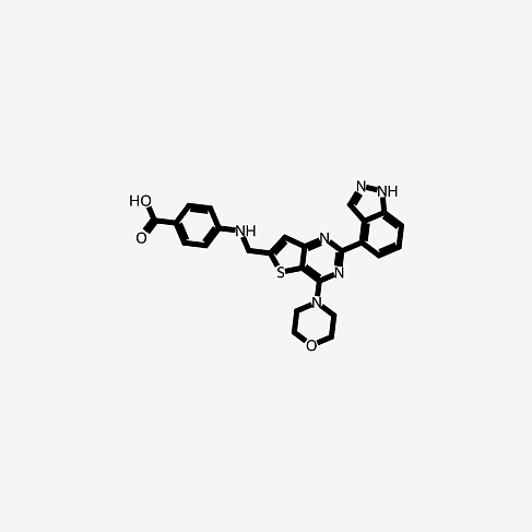 O=C(O)c1ccc(NCc2cc3nc(-c4cccc5[nH]ncc45)nc(N4CCOCC4)c3s2)cc1